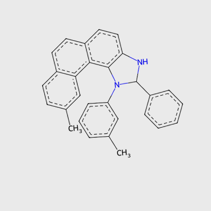 Cc1cccc(N2c3c(ccc4ccc5ccc(C)cc5c34)NC2c2ccccc2)c1